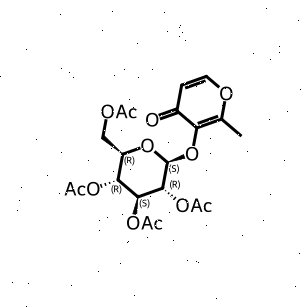 CC(=O)OC[C@H]1O[C@@H](Oc2c(C)occc2=O)[C@H](OC(C)=O)[C@@H](OC(C)=O)[C@@H]1OC(C)=O